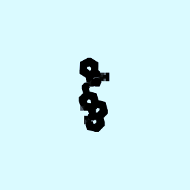 c1cnc2c(c1)ccc1cc(C[n+]3c[nH]c4ccccc43)cnc12